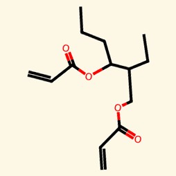 C=CC(=O)OCC(CC)C(CCC)OC(=O)C=C